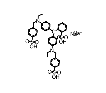 CCN(Cc1ccc(S(=O)(=O)O)cc1)c1ccc([C+](c2ccc(N(CC)Cc3ccc(S(=O)(=O)O)cc3)cc2)c2ccccc2S(=O)(=O)O)cc1.[Na+].[Na+]